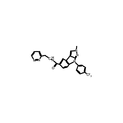 Cn1cc2c3cc(C(=O)NCCc4cccnn4)ccc3n(-c3ccc(C(F)(F)F)cc3)c2n1